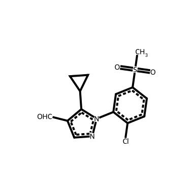 CS(=O)(=O)c1ccc(Cl)c(-n2ncc(C=O)c2C2CC2)c1